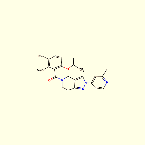 COc1c(C#N)ccc(OC(C)C(F)(F)F)c1C(=O)N1CCc2nn(-c3ccnc(C)c3)cc2C1